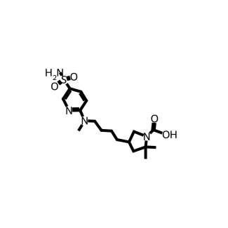 CN(CCCCC1CN(C(=O)O)C(C)(C)C1)c1ccc(S(N)(=O)=O)cn1